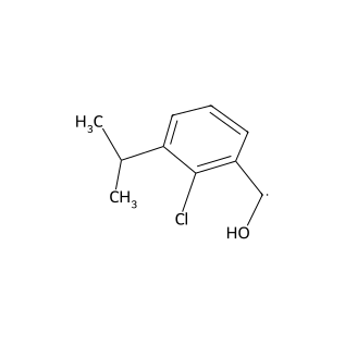 CC(C)c1cccc([CH]O)c1Cl